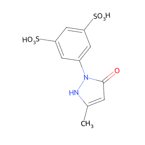 Cc1cc(=O)n(-c2cc(S(=O)(=O)O)cc(S(=O)(=O)O)c2)[nH]1